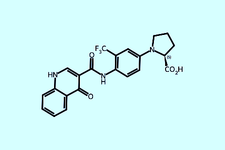 O=C(Nc1ccc(N2CCC[C@H]2C(=O)O)cc1C(F)(F)F)c1c[nH]c2ccccc2c1=O